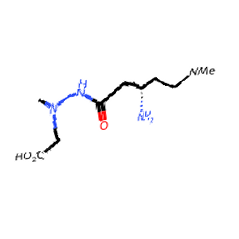 CNCC[C@H](N)CC(=O)NN(C)CC(=O)O